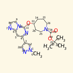 Cn1cc(-c2cc3nccn3c(OC3CCCN(C(=O)OC(C)(C)C)CC3)n2)cn1